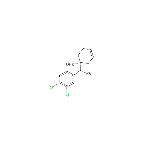 CCCCC(c1ccc(Cl)c(Cl)c1)C1(C=O)CC=CCC1